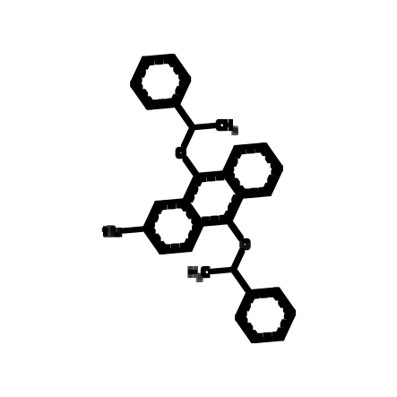 CC(Oc1c2ccccc2c(OC(C)c2ccccc2)c2cc(C(C)(C)C)ccc12)c1ccccc1